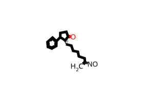 C=C(CCCCCC[C@H]1C(=O)CCC1c1ccccc1)N=O